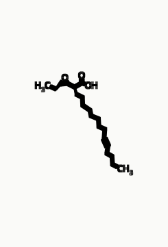 CCCCC#CCCCCCCCC[C@H](C(=O)O)C1O[C@@H]1CC